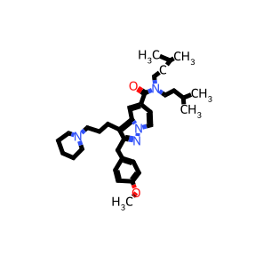 COc1ccc(Cc2nn3ccc(C(=O)N(CCC(C)C)CCC(C)C)cc3c2CCCN2CCCCC2)cc1